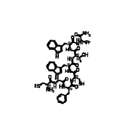 CC(C)[C@@H](NC(=O)[C@@H](Cc1c[nH]c2ccccc12)NC(=O)[C@H](NC(=O)[C@@H](Cc1c[nH]c2ccccc12)NC(=O)[C@@H](CS)NC(=O)[C@H](Cc1ccccc1)NC(=O)CNC(=O)[C@H](N)CS)[C@H](C)O)C(N)=O